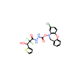 O=C(NNC(=O)C(F)(F)C(O)c1cccs1)ON1Cc2ccccc2Oc2ccc(Cl)cc21